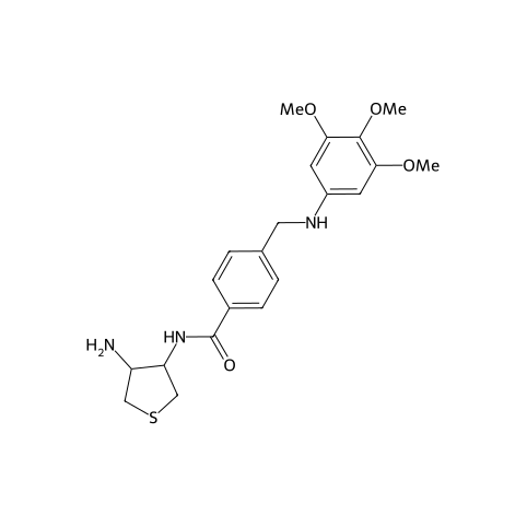 COc1cc(NCc2ccc(C(=O)NC3CSCC3N)cc2)cc(OC)c1OC